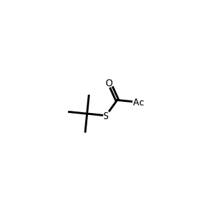 CC(=O)C(=O)SC(C)(C)C